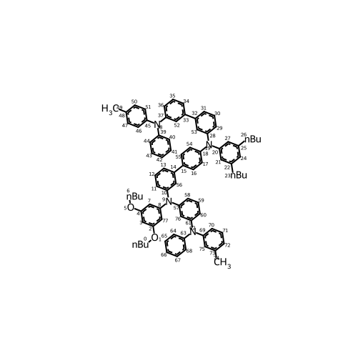 CCCCOc1cc(OCCCC)cc(N(c2cccc(-c3ccc(N(c4cc(CCCC)cc(CCCC)c4)c4cccc(-c5cccc(N(c6ccccc6)c6ccc(C)cc6)c5)c4)cc3)c2)c2cccc(N(c3ccccc3)c3cccc(C)c3)c2)c1